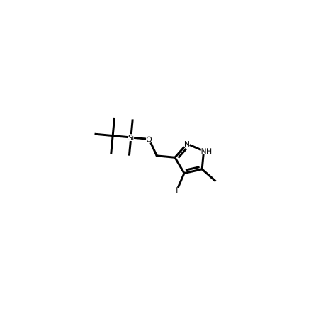 Cc1[nH]nc(CO[Si](C)(C)C(C)(C)C)c1I